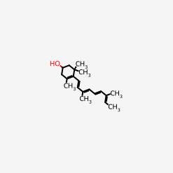 CC=C(C)C=CC=C(C)C=CC1=C(C)CC(O)CC1(C)C